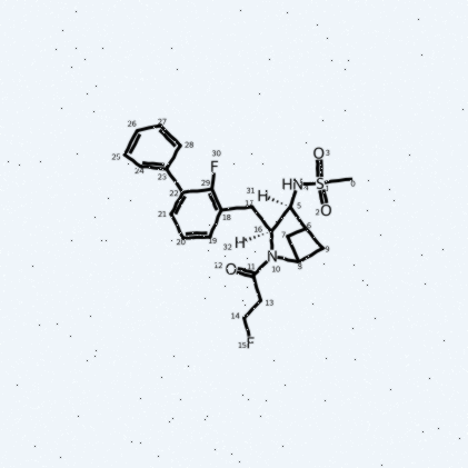 CS(=O)(=O)N[C@H]1C2CC(C2)N(C(=O)CCF)[C@H]1Cc1cccc(-c2ccccc2)c1F